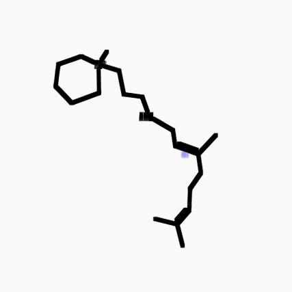 CC(C)=CCC/C(C)=C/CNCCC[N+]1(C)CCCCC1